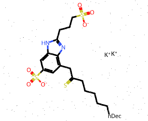 CCCCCCCCCCCCCCCC(=S)Cc1cc(S(=O)(=O)[O-])cc2[nH]c(CCCS(=O)(=O)[O-])nc12.[K+].[K+]